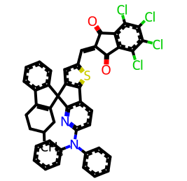 CC1CCC2=C(C1)C1(c3ccccc32)c2cc(C=C3C(=O)c4c(Cl)c(Cl)c(Cl)c(Cl)c4C3=O)sc2-c2ccc(N(c3ccccc3)c3ccccc3)nc21